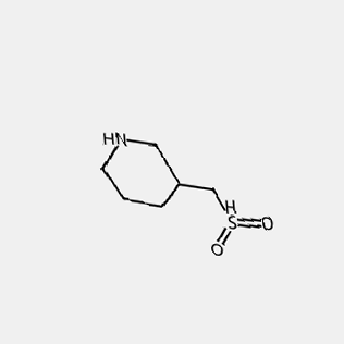 O=[SH](=O)CC1CCCNC1